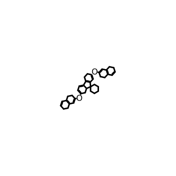 C1=CC2=C(C=C(OC3=CC4=C(CC3)C3=CC=C(OC5=CC6=C(C=CCC6)CC5)CC3C43CCCCC3)CC2)CC1